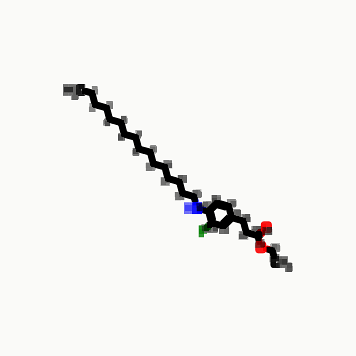 CCCCCCCCCCCCCCCCNc1ccc(CCC(=O)OCC)cc1F